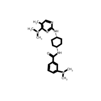 Cc1cnc(N[C@H]2CC[C@@H](NC(=O)c3cccc(N(C)C)c3)CC2)nc1N(C)C